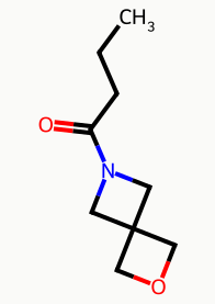 CCCC(=O)N1CC2(COC2)C1